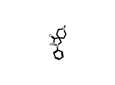 CN1CCC2(CC1)CN(c1ccccc1)NC2=O